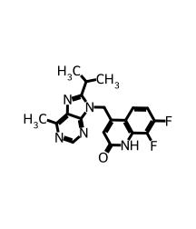 Cc1ncnc2c1nc(C(C)C)n2Cc1cc(=O)[nH]c2c(F)c(F)ccc12